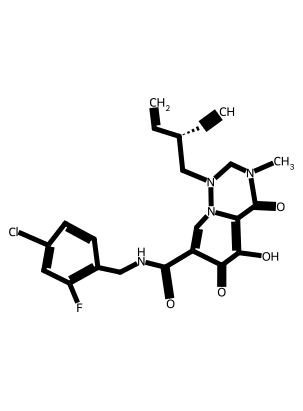 C#C[C@@H](C=C)CN1CN(C)C(=O)c2c(O)c(=O)c(C(=O)NCc3ccc(Cl)cc3F)cn21